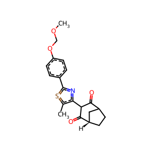 COCOc1ccc(-c2nc(C3C(=O)C4CC[C@@H](C4)C3=O)c(C)s2)cc1